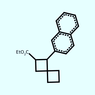 CCOC(=O)C1CC2(CCC2)C1c1ccc2ccccc2c1